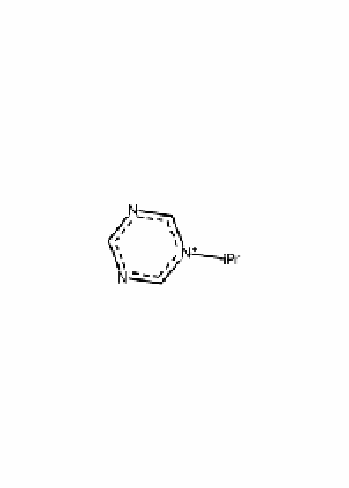 CC(C)[n+]1cncnc1